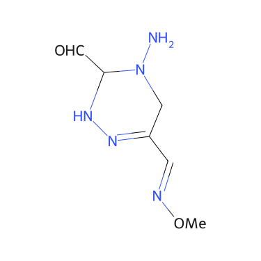 CON=CC1=NNC(C=O)N(N)C1